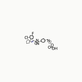 O=C(O)OC1CN(Cc2ccc(-c3noc(/C=C/C4(c5ccc(F)cc5Cl)CCCC4)n3)cc2)C1